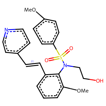 COc1ccc(S(=O)(=O)N(CCO)c2c(/C=C/c3ccncc3)cccc2OC)cc1